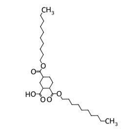 CCCCCCCCCCOC(=O)C1CCC(C(=O)OCCCCCCCCCC)C(C(=O)O)C1